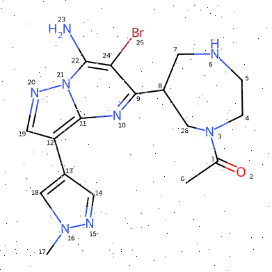 CC(=O)N1CCNCC(c2nc3c(-c4cnn(C)c4)cnn3c(N)c2Br)C1